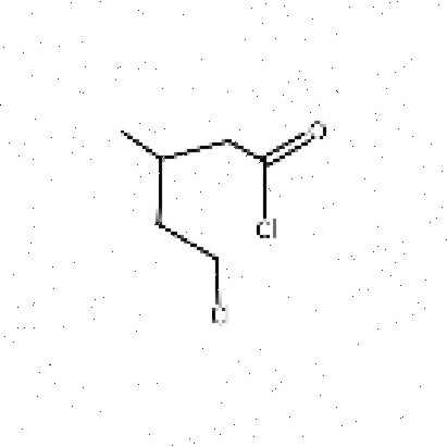 CC(CCCl)CC(=O)Cl